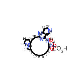 O=C(O)N1C2OOC13CCCCCCC1CN4CCCC4(CCc4nc(c5cnccc5n4)N(C3)O2)C1